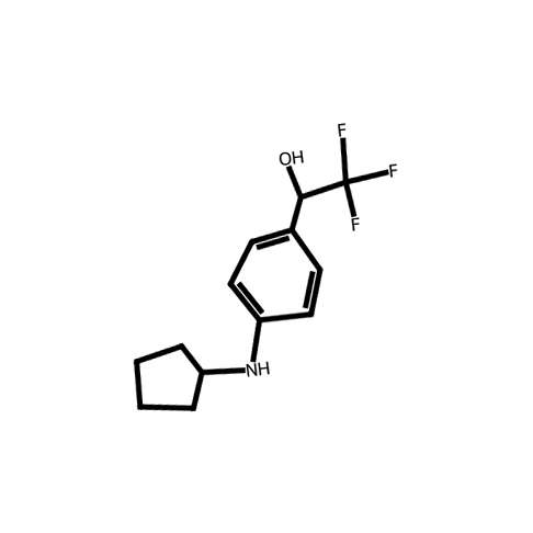 OC(c1ccc(NC2CCCC2)cc1)C(F)(F)F